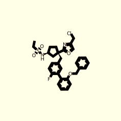 CCS(=O)(=O)N[C@H]1CC[C@](Cc2ccc(F)c(-c3ccccc3OCc3ccccc3)c2)(c2nc(CCl)co2)C1